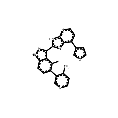 Cc1ccncc1-c1ccc2[nH]nc(-c3nc4c(-c5ccoc5)ccnc4[nH]3)c2c1F